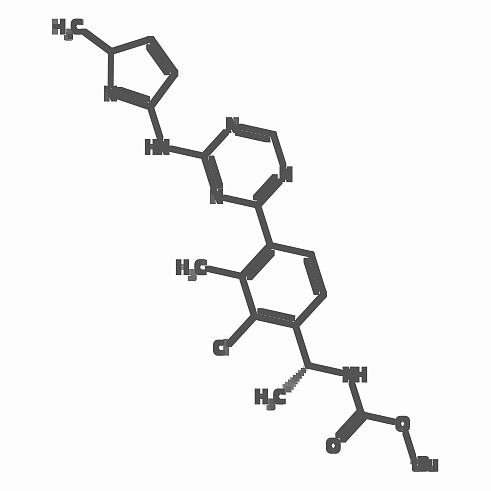 Cc1c(-c2ncnc(NC3=NC(C)C=C3)n2)ccc([C@@H](C)NC(=O)OC(C)(C)C)c1Cl